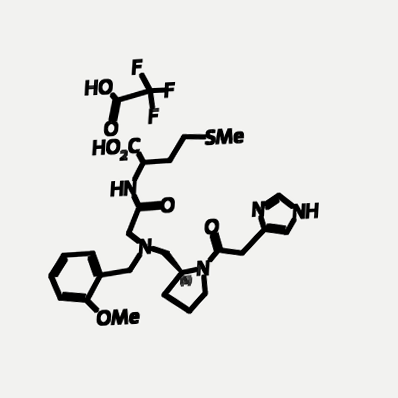 COc1ccccc1CN(CC(=O)NC(CCSC)C(=O)O)C[C@@H]1CCCN1C(=O)Cc1c[nH]cn1.O=C(O)C(F)(F)F